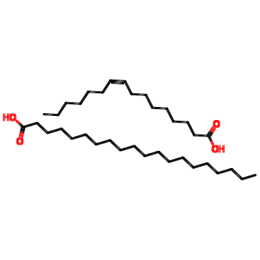 CCCCCC/C=C\CCCCCCCC(=O)O.CCCCCCCCCCCCCCCCCCCC(=O)O